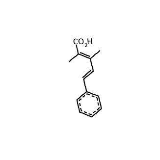 CC(C=Cc1ccccc1)=C(C)C(=O)O